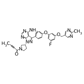 CC#CC(=O)N1CC[C@@H](n2nc(-c3ccc(Oc4cc(F)cc(OCc5cnc(C)nc5)c4)cc3)c3c(N)ncnc32)C1